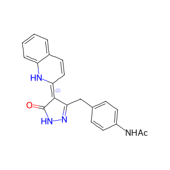 CC(=O)Nc1ccc(CC2=NNC(=O)/C2=C2/C=Cc3ccccc3N2)cc1